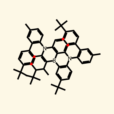 Cc1ccc(N2C3=C(B4c5cc(C(C)(C)C)ccc5N(c5ccc(C)cc5-c5ccc(C(C)(C)C)cc5)c5cccc2c54)C(C)C(C(C)(C)C)C=C3)c(-c2ccc(C(C)(C)C)cc2)c1